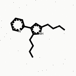 CCCCc1cc(-c2ccccn2)c(CCCC)[nH]1